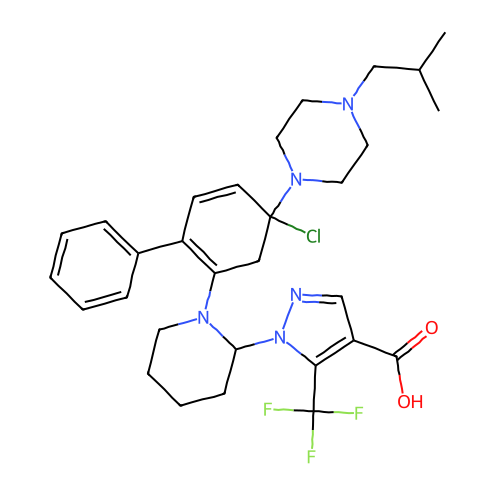 CC(C)CN1CCN(C2(Cl)C=CC(c3ccccc3)=C(N3CCCCC3n3ncc(C(=O)O)c3C(F)(F)F)C2)CC1